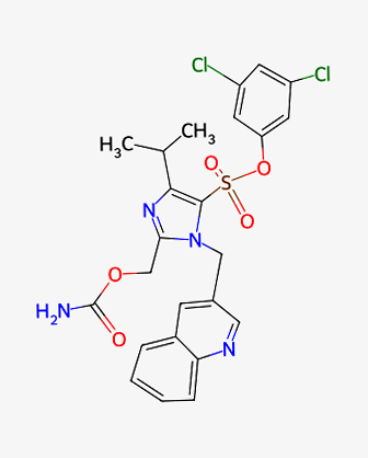 CC(C)c1nc(COC(N)=O)n(Cc2cnc3ccccc3c2)c1S(=O)(=O)Oc1cc(Cl)cc(Cl)c1